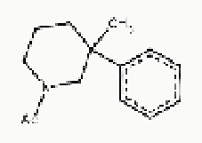 CC(=O)N1CCCC(C)(c2ccccc2)C1